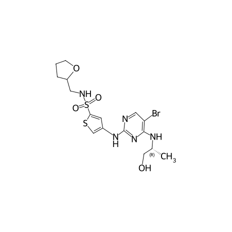 C[C@H](CO)Nc1nc(Nc2csc(S(=O)(=O)NCC3CCCO3)c2)ncc1Br